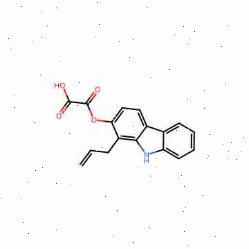 C=CCc1c(OC(=O)C(=O)O)ccc2c1[nH]c1ccccc12